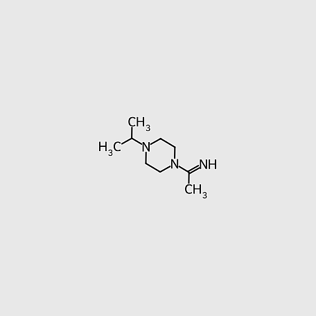 CC(=N)N1CCN(C(C)C)CC1